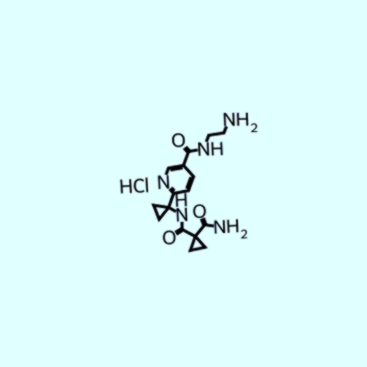 Cl.NCCNC(=O)c1ccc(C2(NC(=O)C3(C(N)=O)CC3)CC2)nc1